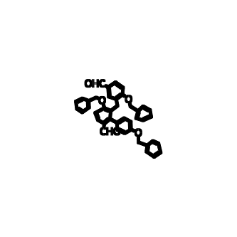 O=Cc1ccc(OCc2ccccc2)c(Cc2c(OCc3ccccc3)ccc(C=O)c2-c2ccc(OCc3ccccc3)cc2)c1